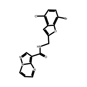 O=C(NCc1cc2c(Cl)ccc(Br)c2o1)c1cnn2cccnc12